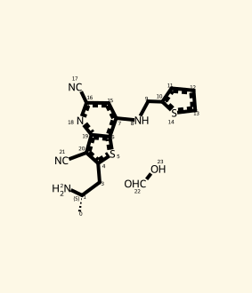 C[C@H](N)Cc1sc2c(NCc3cccs3)cc(C#N)nc2c1C#N.O=CO